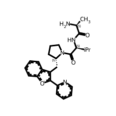 CC(C)[C@H](NC(=O)[C@H](C)N)C(=O)N1CCC[C@H]1Cc1c(-c2ccccn2)oc2ccccc12